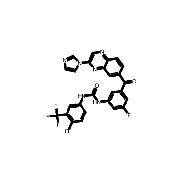 O=C(Nc1cc(F)cc(C(=O)c2ccc3ncc(-n4ccnc4)nc3c2)c1)Nc1ccc(Cl)c(C(F)(F)F)c1